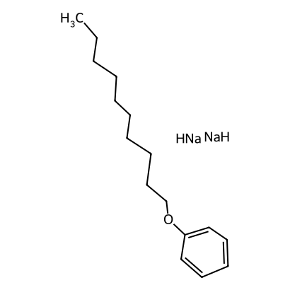 CCCCCCCCCCOc1ccccc1.[NaH].[NaH]